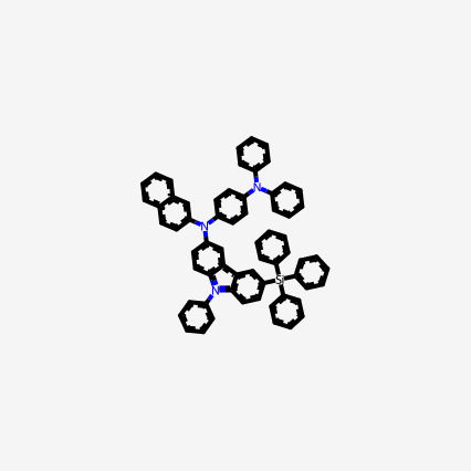 c1ccc(N(c2ccccc2)c2ccc(N(c3ccc4ccccc4c3)c3ccc4c(c3)c3cc([Si](c5ccccc5)(c5ccccc5)c5ccccc5)ccc3n4-c3ccccc3)cc2)cc1